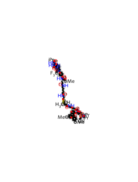 COC(=O)[C@H](CCC(=O)NCCCCCC(=O)NCCSSC(C)(C)CCC(=O)NCCCCCC(=O)N1C[C@H](OP(OCCC#N)N(C(C)C)C(C)C)C[C@H]1COC(c1ccccc1)(c1ccc(OC)cc1)c1ccc(OC)cc1)NC(=O)c1ccc(N(Cc2cnc3nc(NC(=O)C(C)C)[nH]c(=O)c3n2)C(=O)C(F)(F)F)cc1